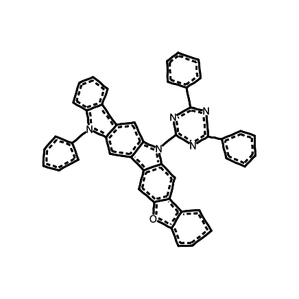 c1ccc(-c2nc(-c3ccccc3)nc(-n3c4cc5c(cc4c4cc6c(cc43)c3ccccc3n6-c3ccccc3)oc3ccccc35)n2)cc1